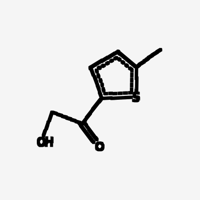 Cc1ccc(C(=O)CO)s1